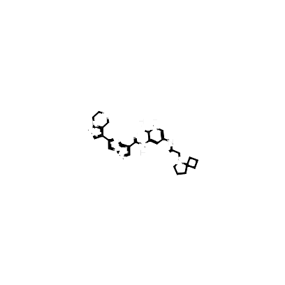 CC1NC=C(NC(=O)CN2CCCC23CCC3)C=C1NC(=O)c1cnn2cc(-c3cnn4c3COCC4)sc12